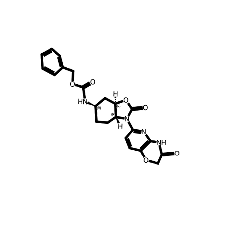 O=C1COc2ccc(N3C(=O)O[C@@H]4C[C@H](NC(=O)OCc5ccccc5)CC[C@H]43)nc2N1